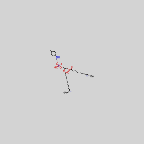 CCC/C=C\CCCCCCCC(=O)OC(COC(=O)CCCCCC/C=C/CCCC)COP(=O)(O)OCCNC1CCC(C)CC1